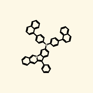 c1ccc(-c2c3ccc(N(c4ccc(-c5cccc6ccccc56)cc4)c4ccc(-c5cccc6ccccc56)cc4)cc3n3cc4ccccc4cc23)cc1